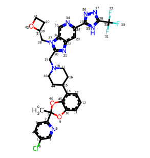 CC1(c2ccc(Cl)cn2)Oc2cccc(C3CCN(Cc4nc5cc(-c6nnc(C(F)(F)F)[nH]6)ncc5n4C[C@@H]4CCO4)CC3)c2O1